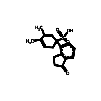 CC1=CCC(c2cccc3c2CCC3=O)(S(=O)(=O)O)C=C1C